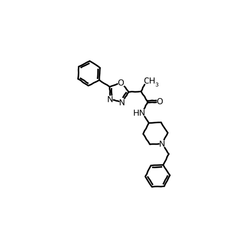 CC(C(=O)NC1CCN(Cc2ccccc2)CC1)c1nnc(-c2ccccc2)o1